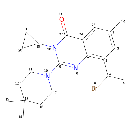 Cc1cc(C(C)Br)c2nc(N3CCC(C)(C)CC3)n(C3CC3)c(=O)c2c1